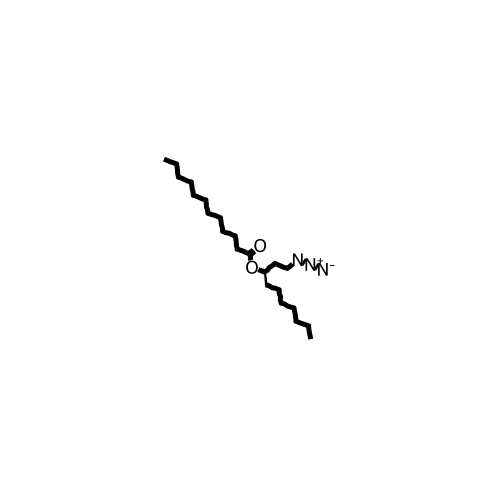 CCCCCCCCCCCC(=O)O[C@H](CCCCCCC)CCN=[N+]=[N-]